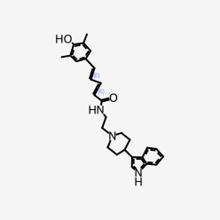 Cc1cc(/C=C/C=C/C(=O)NCCN2CCC(c3c[nH]c4ccccc34)CC2)cc(C)c1O